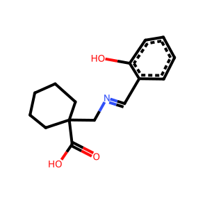 O=C(O)C1(C/N=C/c2ccccc2O)CCCCC1